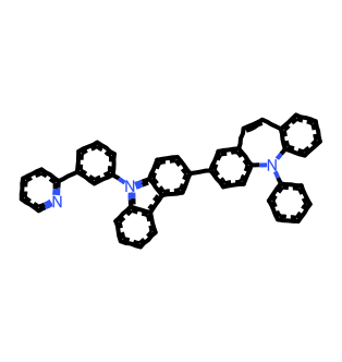 C1=Cc2cc(-c3ccc4c(c3)c3ccccc3n4-c3cccc(-c4ccccn4)c3)ccc2N(c2ccccc2)c2ccccc21